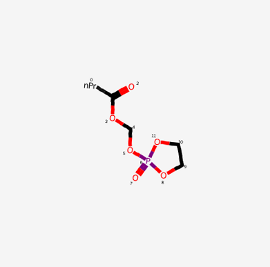 CCCC(=O)OCOP1(=O)OCCO1